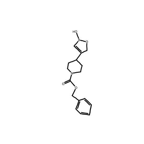 O=C(OCc1ccccc1)N1CCC(C2=CB(O)OC2)CC1